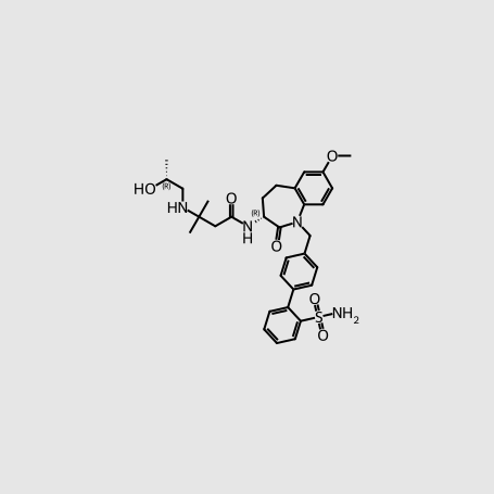 COc1ccc2c(c1)CC[C@@H](NC(=O)CC(C)(C)NC[C@@H](C)O)C(=O)N2Cc1ccc(-c2ccccc2S(N)(=O)=O)cc1